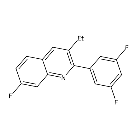 CCc1cc2ccc(F)cc2nc1-c1cc(F)cc(F)c1